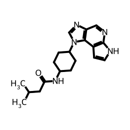 CC(C)CC(=O)NC1CCC(n2cnc3cnc4[nH]ccc4c32)CC1